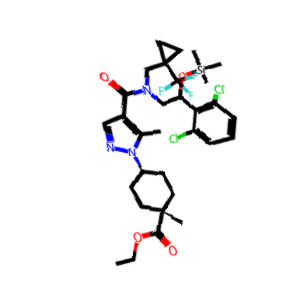 CCOC(=O)[C@]1(C)CC[C@@H](n2ncc(C(=O)N(CC(O[Si](C)(C)C)c3c(Cl)cccc3Cl)CC3(C(F)(F)F)CC3)c2C)CC1